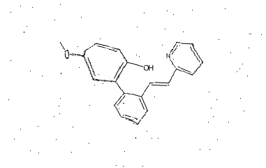 COc1ccc(O)c(-c2ccccc2C=Cc2ccccn2)c1